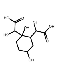 O=C(O)C(S)C1CC(O)CCC1(O)C(S)C(=O)O